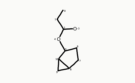 CCC([O])OC1CCC2CC21